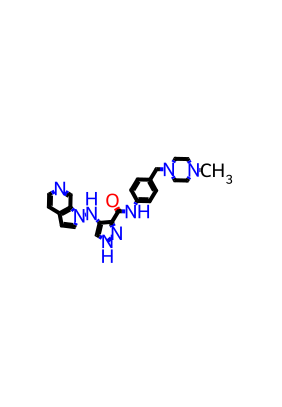 CN1CCN(Cc2ccc(NC(=O)c3n[nH]cc3Nn3ccc4ccncc43)cc2)CC1